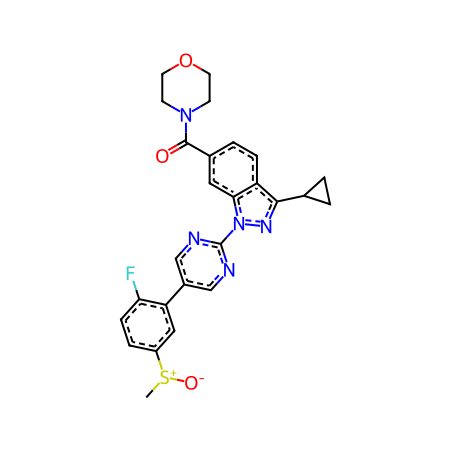 C[S+]([O-])c1ccc(F)c(-c2cnc(-n3nc(C4CC4)c4ccc(C(=O)N5CCOCC5)cc43)nc2)c1